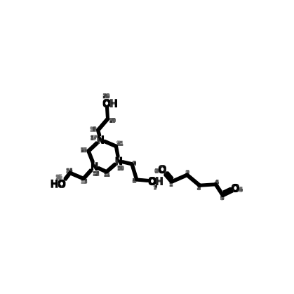 O=CCCCC=O.OCCN1CN(CCO)CN(CCO)C1